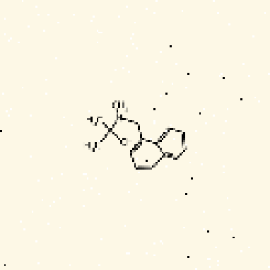 CN(Cc1cccc2ccccc12)C(C)(C)C